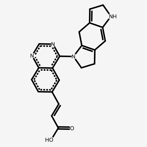 O=C(O)C=Cc1ccc2ncnc(N3CCC4=C3CC3=CCNC3=C4)c2c1